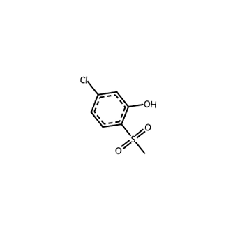 CS(=O)(=O)c1ccc(Cl)cc1O